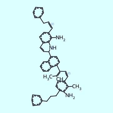 CC(C)=C(/C=C\c1ccc(CCCc2ccccc2)c(N)c1C)c1ccc(C2C=Cc3ccc(/C=C\Cc4ccccc4)c(N)c3N2)c2ccccc12